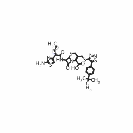 CO/N=C(\C(=O)NC1C(=O)N2C(C(=O)O)=C(CSc3nnsc3-c3ccc(C(C)(C)C)cc3)CSC12)c1csc(N)n1